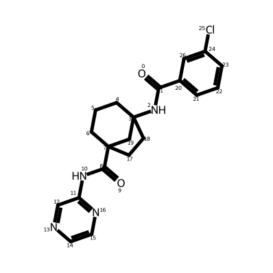 O=C(NC12CCCC(C(=O)Nc3cnccn3)(CC1)C2)c1cccc(Cl)c1